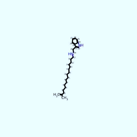 C=C(C)CCCCCCCCCCCCCCCNCCc1c[nH]c2ccccc12